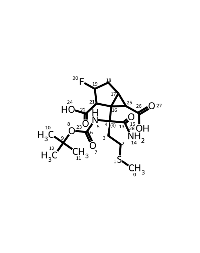 CSCC[C@](NC(=O)OC(C)(C)C)(C(N)=O)C12C(CC(F)C1C(=O)O)C2C(=O)O